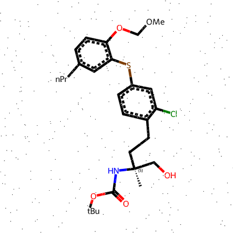 CCCc1ccc(OCOC)c(Sc2ccc(CC[C@@](C)(CO)NC(=O)OC(C)(C)C)c(Cl)c2)c1